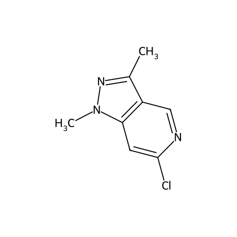 Cc1nn(C)c2cc(Cl)ncc12